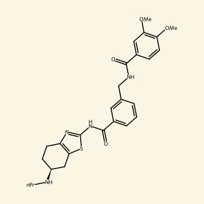 CCCN[C@H]1CCc2nc(NC(=O)c3cccc(CNC(=O)c4ccc(OC)c(OC)c4)c3)sc2C1